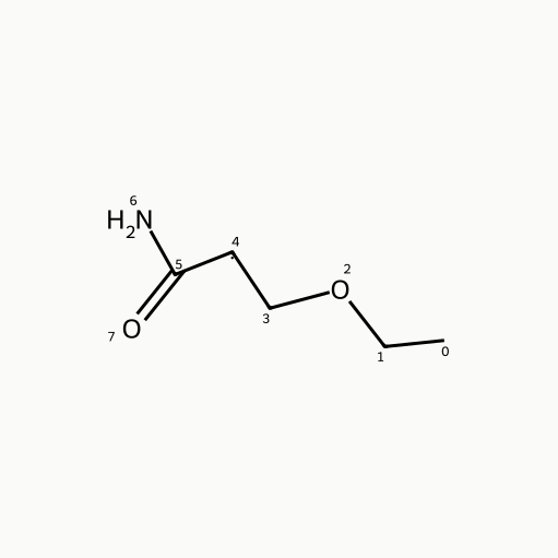 CCOC[CH]C(N)=O